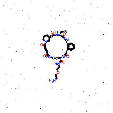 CC(C)C[C@@H]1NC(=O)[C@@H]2CCCN(C2)C(=O)/C=C/C(=O)NCC[C@@H](C(=O)NCCOCCN)NC(=O)Cc2ccccc2CNC1=O